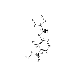 CCC(CC)NCc1cccc(N(C)CC)c1C